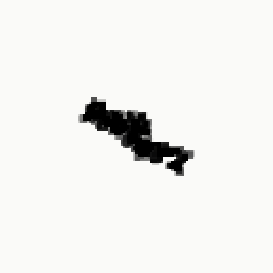 Cc1ccnc(NC(=O)c2ccc(-n3c(=O)n(-c4cccc(NC(=O)C#CCN(C)C5CC5)c4)c4ncnc(N)c43)cc2)c1